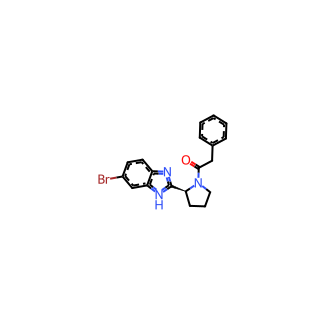 O=C(Cc1ccccc1)N1CCC[C@H]1c1nc2ccc(Br)cc2[nH]1